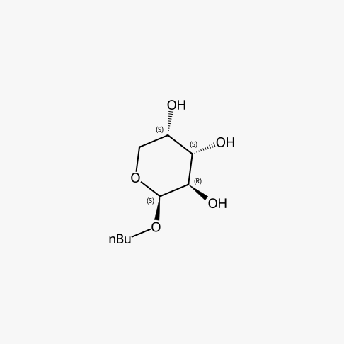 CCCCO[C@H]1OC[C@H](O)[C@H](O)[C@H]1O